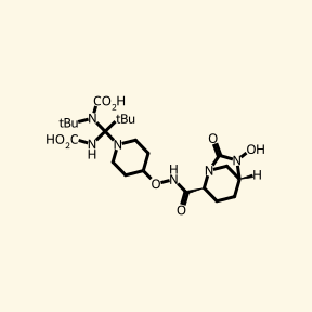 CC(C)(C)N(C(=O)O)C(NC(=O)O)(N1CCC(ONC(=O)[C@@H]2CC[C@@H]3CN2C(=O)N3O)CC1)C(C)(C)C